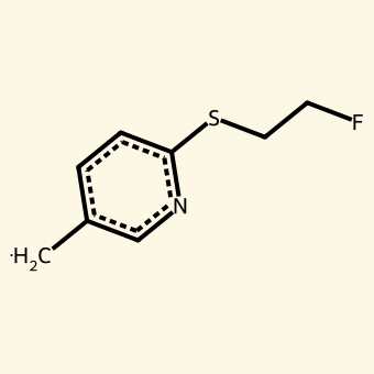 [CH2]c1ccc(SCCF)nc1